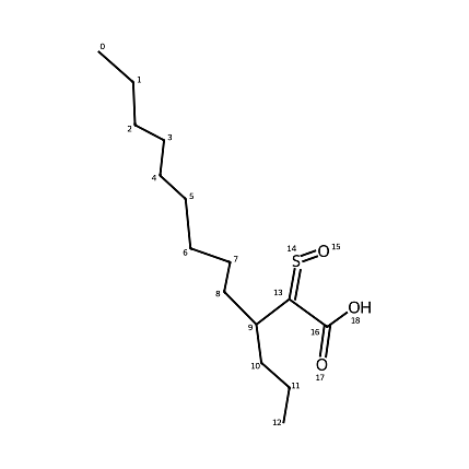 CCCCCCCCCC(CCC)C(=S=O)C(=O)O